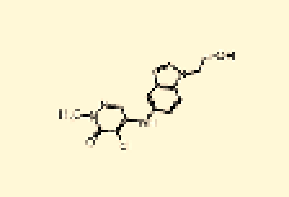 Cn1ncc(Nc2ccc3c(ccn3CCO)c2)c(Cl)c1=O